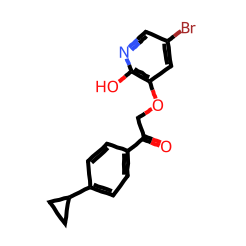 O=C(COc1cc(Br)cnc1O)c1ccc(C2CC2)cc1